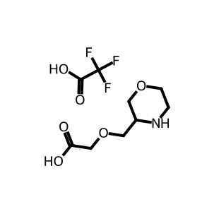 O=C(O)C(F)(F)F.O=C(O)COCC1COCCN1